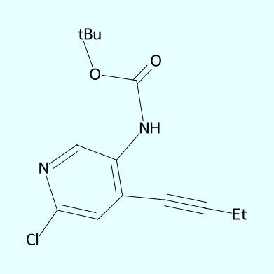 CCC#Cc1cc(Cl)ncc1NC(=O)OC(C)(C)C